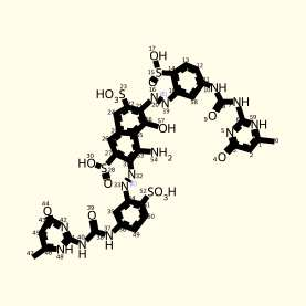 Cc1cc(=O)nc(NC(=O)Nc2ccc(S(=O)O)c(/N=N/c3c(S(=O)(=O)O)cc4cc(S(=O)O)c(/N=N/c5cc(NC(=O)Nc6nc(=O)cc(C)[nH]6)ccc5S(=O)(=O)O)c(N)c4c3O)c2)[nH]1